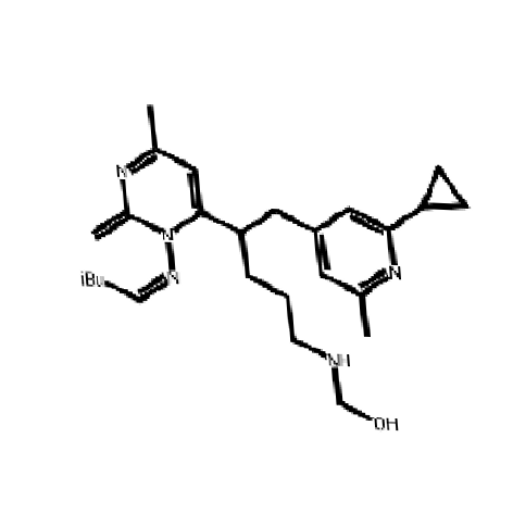 C=C1N=C(C)C=C(C(CCCNCO)Cc2cc(C)nc(C3CC3)c2)N1/N=C\C(C)CC